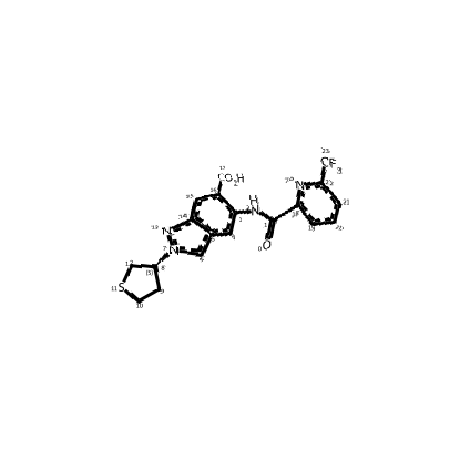 O=C(Nc1cc2cn([C@H]3CCSC3)nc2cc1C(=O)O)c1cccc(C(F)(F)F)n1